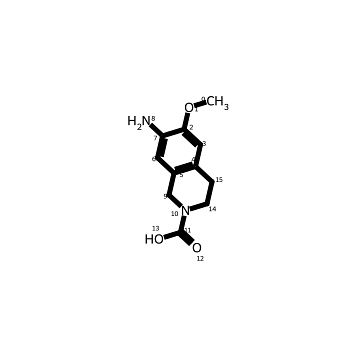 COc1cc2c(cc1N)CN(C(=O)O)CC2